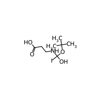 CC(C)(C)OC(O)(I)NCCC(=O)O